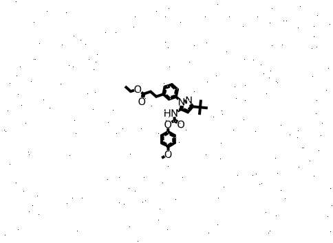 CCOC(=O)CCc1cccc(-n2nc(C(C)(C)C)cc2NC(=O)Oc2ccc(OC)cc2)c1